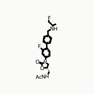 CC(=O)NC[C@H]1CN(c2ccc(-c3ccc(CNC(C)CF)cc3)c(F)c2)C(=O)O1